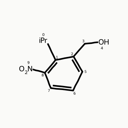 CC(C)c1c(CO)cccc1[N+](=O)[O-]